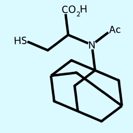 CC(=O)N(C(CS)C(=O)O)C12CC3CC(CC(C3)C1)C2